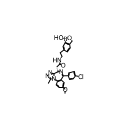 COc1ccc2c(c1)C(c1ccc(Cl)cc1)=N[C@@H](CC(=O)NCCc1ccc3c(c1)B(O)OC3)c1nnc(C)n1-2